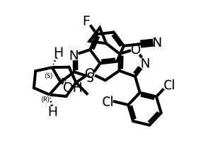 CC1(OCc2c(-c3c(Cl)cccc3Cl)noc2C2CC2)C[C@H]2CC[C@@H](C1)[C@@]2(O)c1nc2c(F)cc(C#N)cc2s1